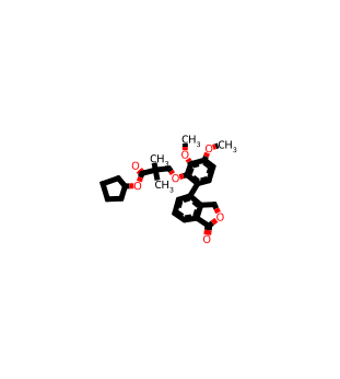 COc1ccc(-c2cccc3c2COC3=O)c(OCC(C)(C)C(=O)OC2CCCC2)c1OC